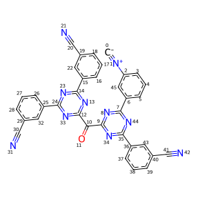 [C-]#[N+]c1cccc(-c2nc(C(=O)c3nc(-c4cccc(C#N)c4)nc(-c4cccc(C#N)c4)n3)nc(-c3cccc(C#N)c3)n2)c1